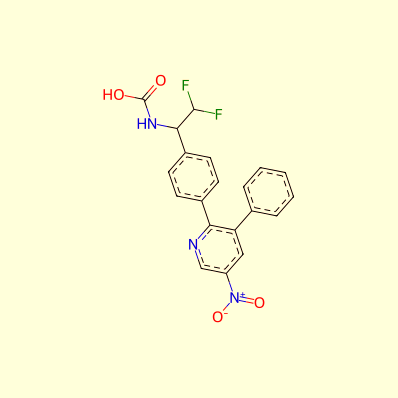 O=C(O)NC(c1ccc(-c2ncc([N+](=O)[O-])cc2-c2ccccc2)cc1)C(F)F